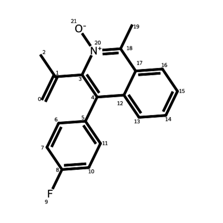 C=C(C)c1c(-c2ccc(F)cc2)c2ccccc2c(C)[n+]1[O-]